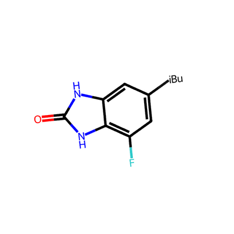 CCC(C)c1cc(F)c2[nH]c(=O)[nH]c2c1